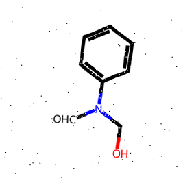 O=[C]N(CO)c1ccccc1